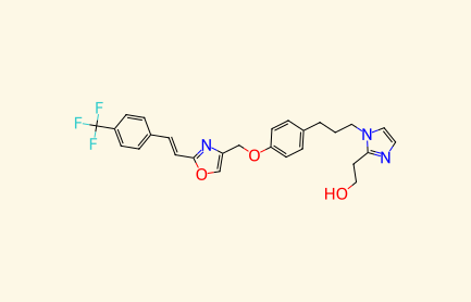 OCCc1nccn1CCCc1ccc(OCc2coc(C=Cc3ccc(C(F)(F)F)cc3)n2)cc1